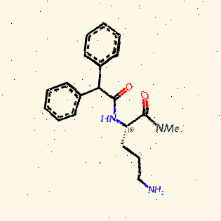 CNC(=O)[C@H](CCCN)NC(=O)C(c1ccccc1)c1ccccc1